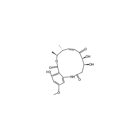 COc1cc(O)c2c(c1)NC(=O)C[C@H](O)[C@H](O)C(=O)/C=C\[C@@H](C)[C@H](C)OC2=O